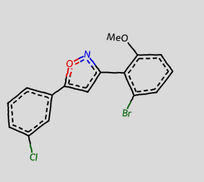 COc1cccc(Br)c1-c1cc(-c2cccc(Cl)c2)on1